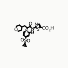 O=C(O)c1cnc(NC(=O)C(CC2CCOCC2)n2ccc(S(=O)(=O)C3CC3)cc2=O)s1